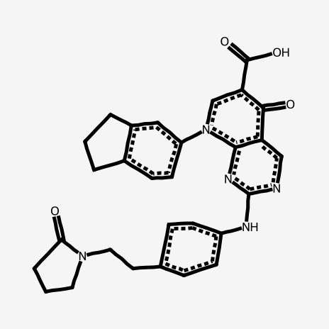 O=C(O)c1cn(-c2ccc3c(c2)CCC3)c2nc(Nc3ccc(CCN4CCCC4=O)cc3)ncc2c1=O